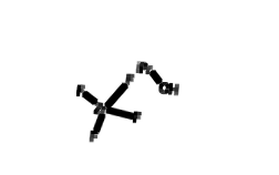 CC(C)O.[F][Zr]([F])([F])[F]